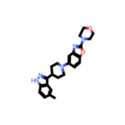 Cc1ccc2[nH]nc(C3CCN(c4ccc5oc(N6CCOCC6)nc5c4)CC3)c2c1